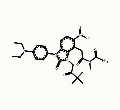 CCN(CC)c1ccc(-n2c(=O)n(CC(=O)C(C)(C)C)c3c(CC(=O)N(C)C(N)=O)c([N+](=O)[O-])ccc32)cc1